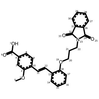 COc1cc(C(=O)O)ccc1C=Cc1ccccc1OCCCN1C(=O)c2ccccc2C1=O